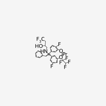 CC(C)Oc1cc([C@@](Cc2ccccc2)(NCC(O)CC(F)(F)F)c2cc(F)cc(OC(F)(F)C(F)F)c2)ccc1F